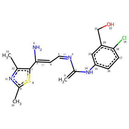 C=C(/N=C\C=C(/N)c1sc(C)nc1C)Nc1ccc(Cl)c(CO)c1